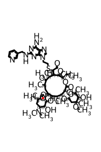 CC[C@H]1OC(=O)[C@H](C)[C@@H](O[C@H]2C[C@@](C)(OC)[C@@H](O)[C@H](C)O2)[C@H](C)[C@@H](O[C@@H]2O[C@H](C)C[C@H](N(C)C)[C@H]2O)[C@](C)(OC)C[C@@H](C)C(=O)[C@H](C)[C@H]2[C@H](SCCn3cnc4c(N)nc(NCc5cccnc5)nc43)C(=O)O[C@@]21C